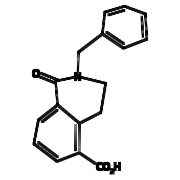 O=C(O)c1cccc2c1CCN(Cc1ccccc1)C2=O